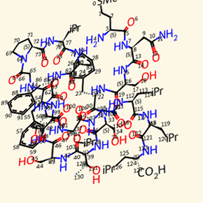 CSCC[C@H](N)C(=O)N[C@@H](CC(N)=O)C(=O)N[C@@H](CO)C(=O)N[C@@H](Cc1ccccc1)C(=O)N[C@@H](CO)C(=O)N[C@H](C(=O)N[C@@H](CO)C(=O)N[C@@H](C)C(=O)N[C@@H](Cc1ccccc1)C(=O)NCC(=O)N1CCC[C@H]1C(=O)N[C@H](C(=O)N[C@@H](C)C(=O)N[C@@H](Cc1ccccc1)C(=O)N[C@@H](CO)C(=O)N[C@@H](CC(C)C)C(=O)NCC(=O)N[C@@H](CC(C)C)C(=O)N[C@@H](CC(C)C)C(=O)N[C@@H](CC(C)C)C(=O)O)C(C)C)[C@@H](C)O